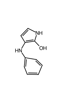 Oc1[nH]ccc1Nc1ccccc1